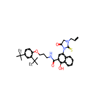 C=CCN1CC(=O)N(c2cc(C(=O)NCCCOc3ccc(C(C)(C)CC)cc3C(C)(C)CC)c(O)c3ccccc23)C1=S